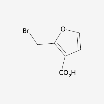 O=C(O)c1ccoc1CBr